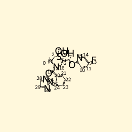 C[C@@H]1CS(O)(O)[C@@H](COc2ccc(F)cn2)CN1C(=O)c1ccccc1-n1nccn1